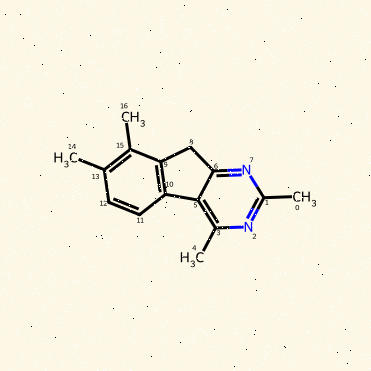 Cc1nc(C)c2c(n1)Cc1c-2ccc(C)c1C